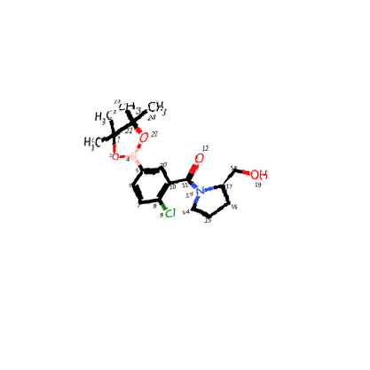 CC1(C)OB(c2ccc(Cl)c(C(=O)N3CCC[C@@H]3CO)c2)OC1(C)C